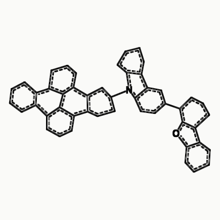 c1ccc2c(c1)oc1c(-c3ccc4c(c3)c3ccccc3n4-c3ccc4c(c3)c3cccc5c6ccccc6c6cccc4c6c53)cccc12